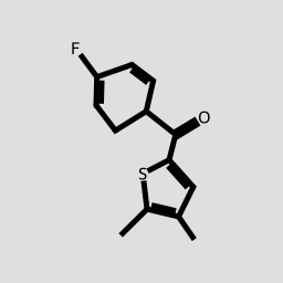 Cc1cc(C(=O)C2C=CC(F)=CC2)sc1C